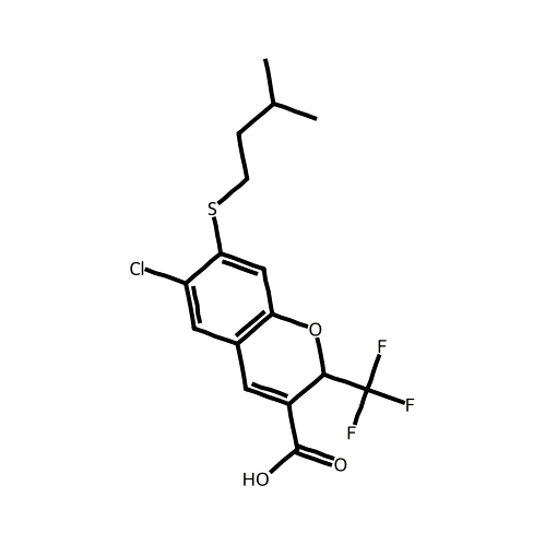 CC(C)CCSc1cc2c(cc1Cl)C=C(C(=O)O)C(C(F)(F)F)O2